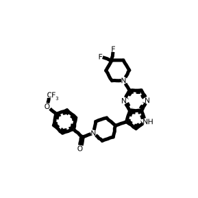 O=C(c1ccc(OC(F)(F)F)cc1)N1CCC(c2c[nH]c3ncc(N4CCC(F)(F)CC4)nc23)CC1